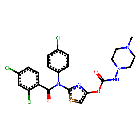 CN1CCN(NC(=O)Oc2csc(N(C(=O)c3ccc(Cl)cc3Cl)c3ccc(Cl)cc3)n2)CC1